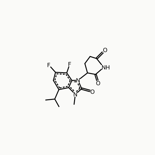 CC(C)c1cc(F)c(F)c2c1n(C)c(=O)n2C1CCC(=O)NC1=O